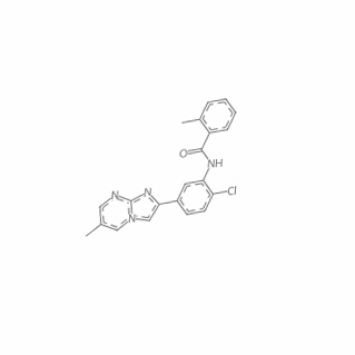 Cc1cnc2nc(-c3ccc(Cl)c(NC(=O)c4ccccc4C)c3)cn2c1